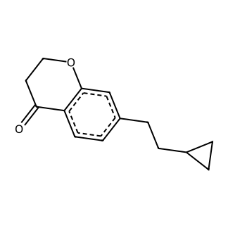 O=C1CCOc2cc(CCC3CC3)ccc21